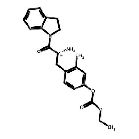 CCOC(=O)Oc1ccc(C[C@@H](N)C(=O)N2CCc3ccccc32)c(C)c1